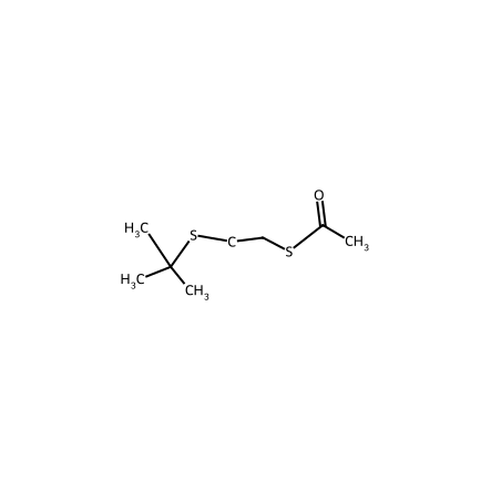 CC(=O)SCCSC(C)(C)C